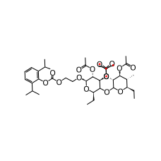 CC[C@H]1O[C@@H](OCCOC(=O)Oc2c(C(C)C)cccc2C(C)C)[C@H](OC(C)=O)[C@@H](OC(C)=O)C1OC1O[C@H](CC)[C@@H](C)[C@H](OC(C)=O)[C@H]1OC(C)=O